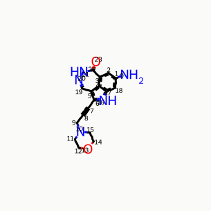 Nc1cc2c3c(c(C#CCN4CCOCC4)[nH]c3c1)C=NNC2=O